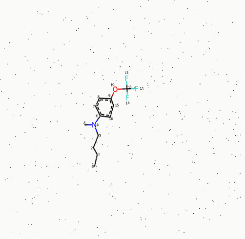 [CH2]CCCN(C)c1ccc(OC(F)(F)F)cc1